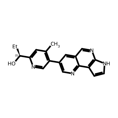 CC[C@H](O)c1cc(C)c(-c2cnc3c(cnc4[nH]ccc43)c2)cn1